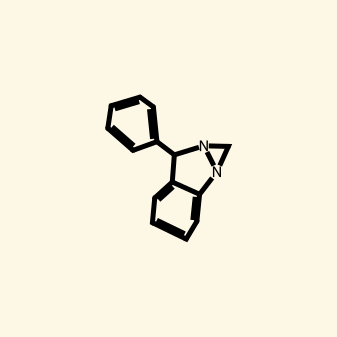 c1ccc(C2c3ccccc3N3CN23)cc1